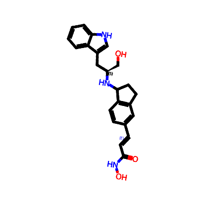 O=C(/C=C/c1ccc2c(c1)CCC2N[C@H](CO)Cc1c[nH]c2ccccc12)NO